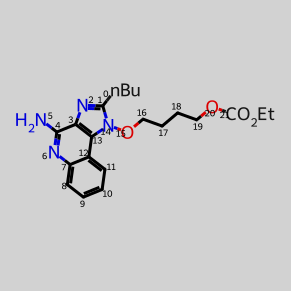 CCCCc1nc2c(N)nc3ccccc3c2n1OCCCCOC(=O)OCC